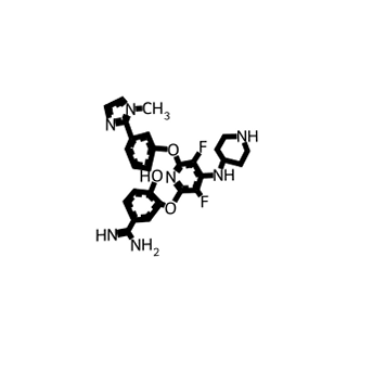 Cn1ccnc1-c1cccc(Oc2nc(Oc3cc(C(=N)N)ccc3O)c(F)c(NC3CCNCC3)c2F)c1